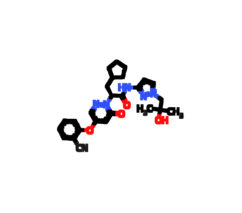 CC(C)(O)Cn1ccc(NC(=O)[C@H](CC2CCCC2)n2ncc(Oc3ccccc3C#N)cc2=O)n1